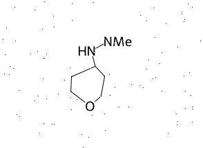 CNNC1CCOCC1